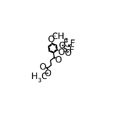 COC(=O)CCC(=O)c1ccc(OC)cc1OS(=O)(=O)C(F)(F)F